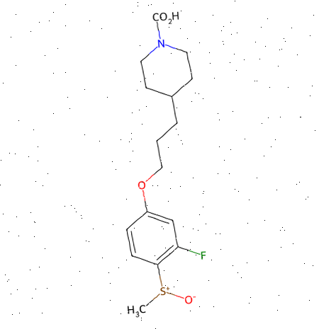 C[S+]([O-])c1ccc(OCCCC2CCN(C(=O)O)CC2)cc1F